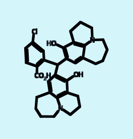 O=C(O)c1ccc(Cl)cc1C(c1cc2c3c(c1O)CCCN3CCCC2)c1cc2c3c(c1O)CCCN3CCCC2